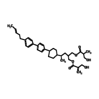 C=C(CO)C(=O)OCC(COC(=O)C(C)CO)CC(C)C1CCC(c2ccc(-c3ccc(CC/C=C/C)cc3)cc2)CC1